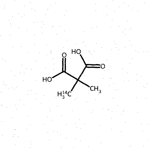 CC([14CH3])(C(=O)O)C(=O)O